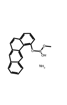 COB(O)Oc1cccc2ccc3cc4ccccc4cc3c12.N